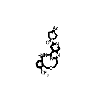 CC(=O)N1CCP(=O)(c2cc3c4nc(nc3cn2)CCCCc2c(cccc2C(F)(F)F)[C@@H](C)N4)CC1